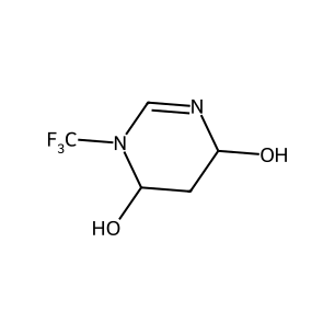 OC1CC(O)N(C(F)(F)F)C=N1